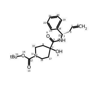 C=CC[C@H](NC(=O)C1(O)CCN(C(=O)OC(C)(C)C)CC1)c1ccccc1